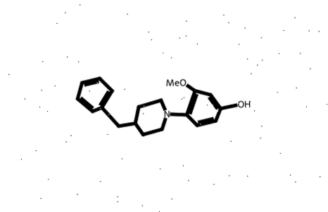 COc1cc(O)ccc1N1CCC(Cc2ccccc2)CC1